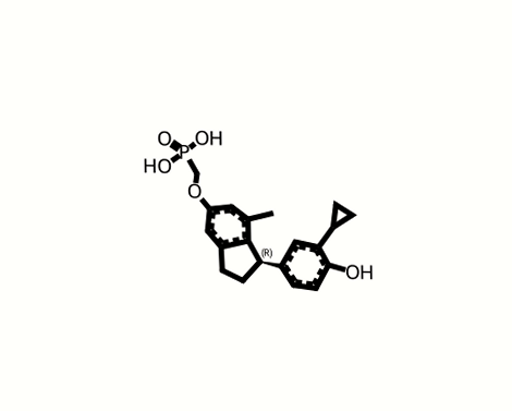 Cc1cc(OCP(=O)(O)O)cc2c1[C@@H](c1ccc(O)c(C3CC3)c1)CC2